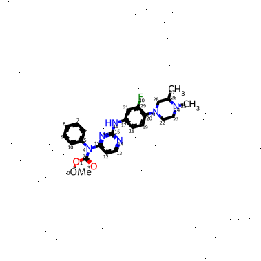 COOC(=O)N(c1ccccc1)c1ccnc(Nc2ccc(N3CCN(C)C(C)C3)c(F)c2)n1